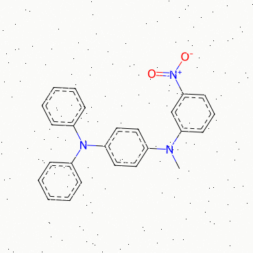 CN(c1ccc(N(c2ccccc2)c2ccccc2)cc1)c1cccc([N+](=O)[O-])c1